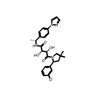 C[C@@H](NC(=O)[C@H](O)[C@@H](O)C(=O)N1CC(C)(C)CC1c1cccc(Cl)c1)c1ccc(-n2cccn2)cc1